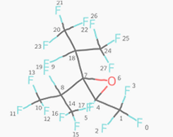 FC(F)(F)C1(F)OC1(C(F)(C(F)(F)F)C(F)(F)F)C(F)(C(F)(F)F)C(F)(F)F